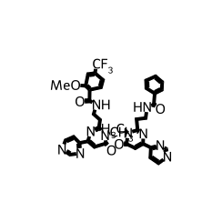 COc1cc(C(F)(F)F)ccc1C(=O)NCCc1nc(-c2ccncn2)cc(=O)n1C.Cn1c(CCNC(=O)c2ccccc2)nc(-c2ccncn2)cc1=O